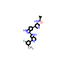 Cc1cc(F)cc(-c2nccc3[nH]c(-c4n[nH]c5ccc(-c6cncc(NC(=O)C7CC7)c6)cc45)cc23)c1